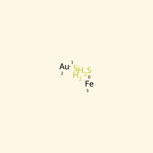 S.S.[Au].[Fe]